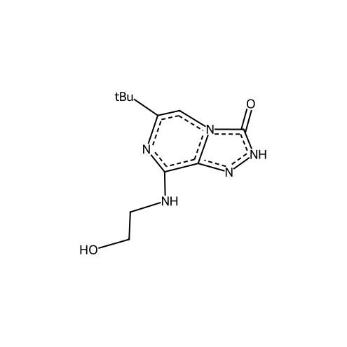 CC(C)(C)c1cn2c(=O)[nH]nc2c(NCCO)n1